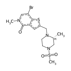 C[C@@H]1CN(S(C)(=O)=O)CCN1Cc1cc2c(=O)n(C)cc(Br)c2s1